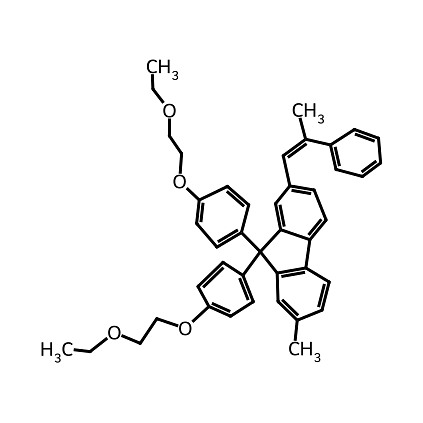 CCOCCOc1ccc(C2(c3ccc(OCCOCC)cc3)c3cc(C)ccc3-c3ccc(C=C(C)c4ccccc4)cc32)cc1